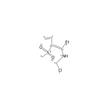 C=C/C(=C(\CC)NCCl)S(C)(=O)=O